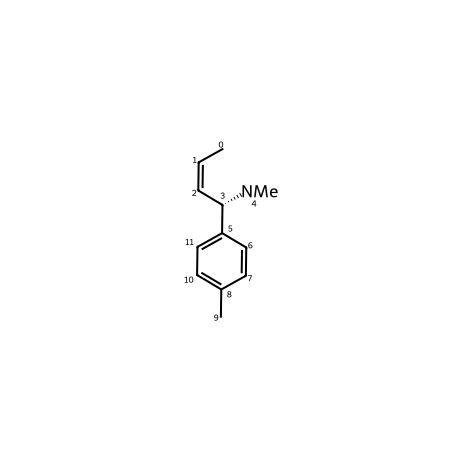 C/C=C\[C@H](NC)c1ccc(C)cc1